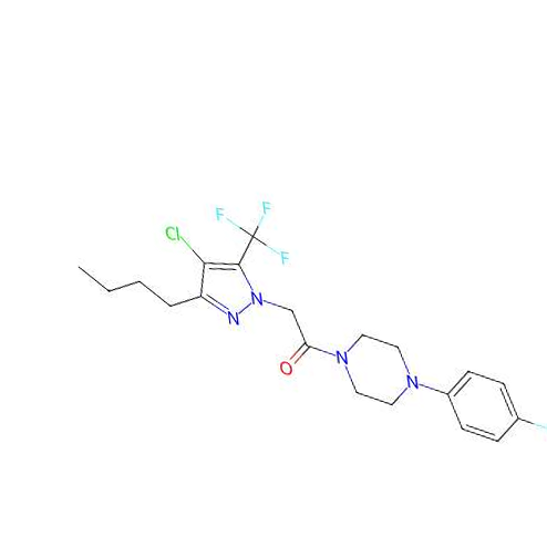 CCCCc1nn(CC(=O)N2CCN(c3ccc(F)cc3)CC2)c(C(F)(F)F)c1Cl